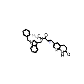 CN(Cc1cn(Cc2ccccc2)c2ccccc12)C(=O)/C=C/c1cnc2c(c1)CCC(=O)N2